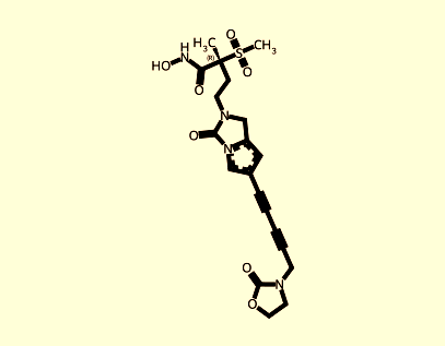 C[C@@](CCN1Cc2cc(C#CC#CCN3CCOC3=O)cn2C1=O)(C(=O)NO)S(C)(=O)=O